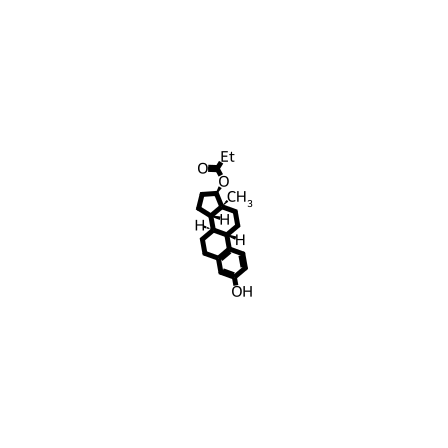 CCC(=O)O[C@@H]1CC[C@H]2[C@@H]3CCc4cc(O)ccc4[C@H]3CC[C@]12C